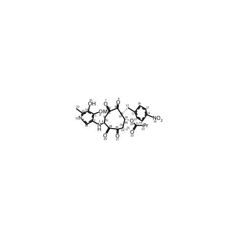 COc1c(N[C@H]2CC(=O)C(=O)[C@H](Cc3ccc([N+](=O)[O-])cc3)[C@H](OC(=O)C(C)C)[C@H](C)C(=O)C2=O)cnc(C)c1O